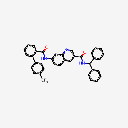 O=C(NC(c1ccccc1)c1ccccc1)c1cnc2cc(NC(=O)c3ccccc3-c3ccc(C(F)(F)F)cc3)ccc2c1